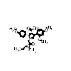 CCCN(C)C(=O)CN1CC(c2ccc(OC)cc2OC)[C@H](C(=O)O)[C@H]1c1ccc(OC)cc1